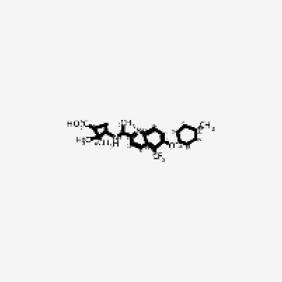 CC(NC1CC(C(=O)O)C1(C)C)c1ccc2c(C(F)(F)F)c(O[C@H]3CC[C@@H](C)CC3)ccc2n1